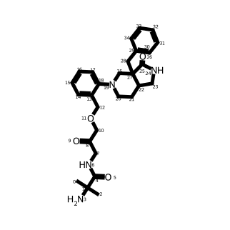 CC(C)(N)C(=O)NCC(=O)COCc1ccccc1N1CCC2CNC(=O)C2(Cc2ccccc2)C1